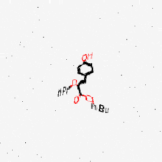 CCCCOC(=O)C(=Cc1ccc(O)cc1)OCCC